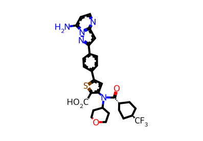 Nc1ccnc2cc(-c3ccc(-c4cc(N(C(=O)[C@H]5CC[C@H](C(F)(F)F)CC5)C5CCOCC5)c(C(=O)O)s4)cc3)nn12